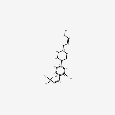 CC/C=C\CC1CCC(c2ccc(/C=C\C(F)(F)F)c(F)c2)CC1